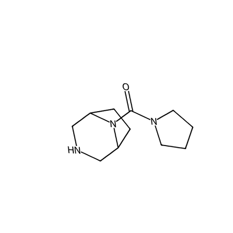 O=C(N1CCCC1)N1C2CCC1CNC2